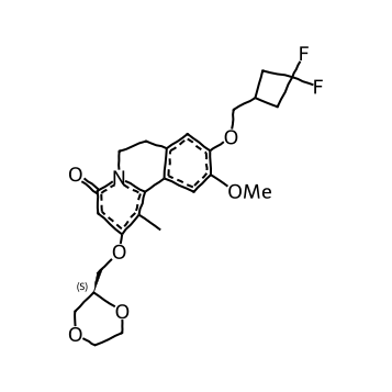 COc1cc2c(cc1OCC1CC(F)(F)C1)CCn1c-2c(C)c(OC[C@@H]2COCCO2)cc1=O